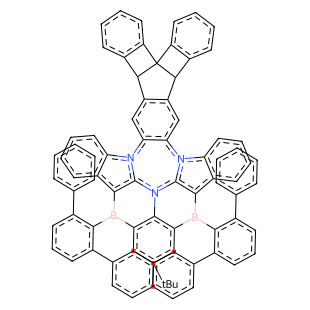 CC(C)(C)c1cc2c3c(c1)B(c1c(-c4ccccc4)cccc1-c1ccccc1)c1c4ccccc4n4c5cc6c(cc5n5c7ccccc7c(c5n-3c14)B2c1c(-c2ccccc2)cccc1-c1ccccc1)C1c2ccccc2C12c1ccccc1C62